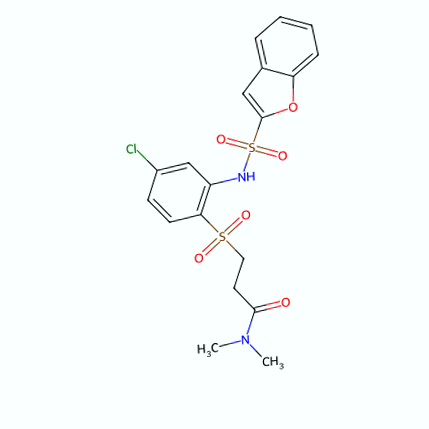 CN(C)C(=O)CCS(=O)(=O)c1ccc(Cl)cc1NS(=O)(=O)c1cc2ccccc2o1